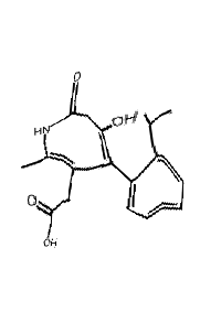 Cc1[nH]c(=O)c(O)c(-c2ccccc2C(C)C)c1CC(=O)O